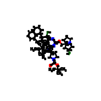 CC(C)[Si](C#Cc1cccc2cccc(-c3ccc4c(N(C)[C@H]5CCN(C(=O)OC(C)(C)C)C5)nc(OC[C@@]56CCCN5C[C@H](F)C6)nc4c3F)c12)(C(C)C)C(C)C